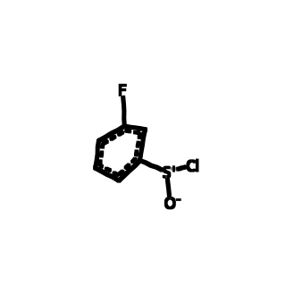 [O-][S+](Cl)c1cccc(F)c1